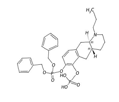 CCCN1CCC[C@@H]2Cc3c(ccc(OP(=O)(OCc4ccccc4)OCc4ccccc4)c3OP(=O)(O)O)C[C@H]21